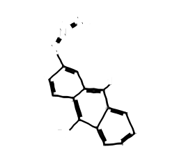 CCc1c2ccccc2c(CC)c2cc(N=[N+]=[N-])ccc12